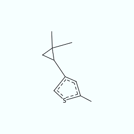 Cc1cc(C2CC2(C)C)cs1